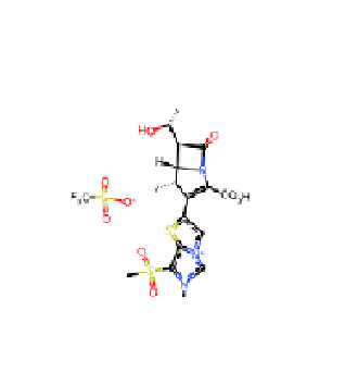 C[C@@H](O)[C@H]1C(=O)N2C(C(=O)O)=C(c3c[n+]4cn(C)c(S(C)(=O)=O)c4s3)[C@H](C)[C@H]12.O=S(=O)([O-])C(F)(F)F